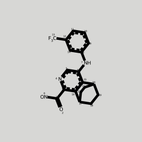 O=NC(=O)c1ncc(Nc2cccc(C(F)(F)F)c2)c2c1C1CCC2CC1